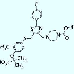 Cc1cc(SCc2sc(-c3ccc(F)cc3)nc2CN2CCN(C(=O)OC(C)C)CC2)ccc1OC(C)(C)C(=O)O